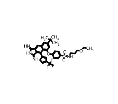 CCOCCCNS(=O)(=O)c1ccc(Oc2cc(C(C)(C)C)cc3cc4c(c(C5=CC(C(F)(F)F)=CC5)c23)C(=N)NC4=N)cc1